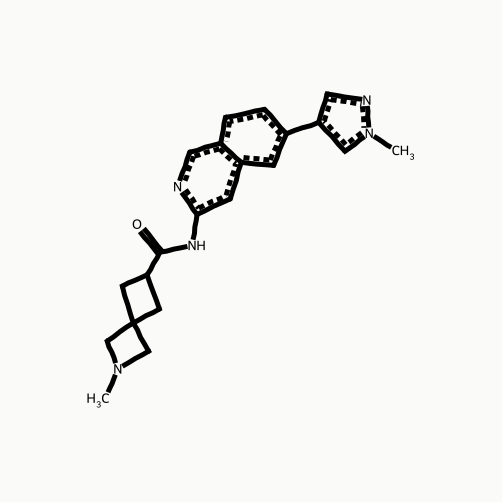 CN1CC2(CC(C(=O)Nc3cc4cc(-c5cnn(C)c5)ccc4cn3)C2)C1